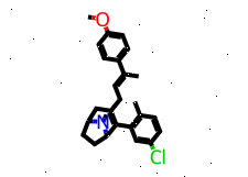 COc1ccc(/C(C)=C/CC2=C(c3cc(Cl)ccc3C)C3CCC(C2)N3C)cc1